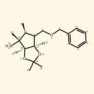 C[C@H]1C(COCc2ccccc2)[C@H]2OC(C)(C)O[C@H]2[C@]1(C)N